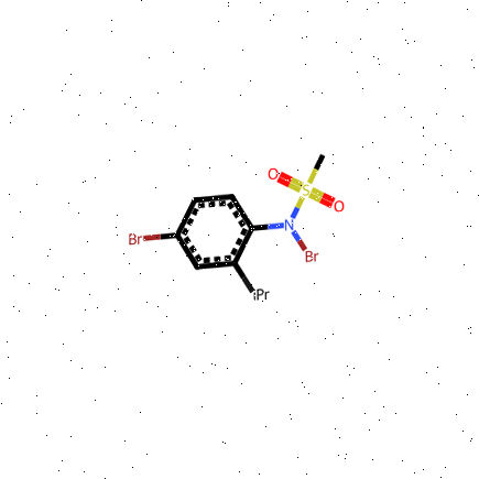 CC(C)c1cc(Br)ccc1N(Br)S(C)(=O)=O